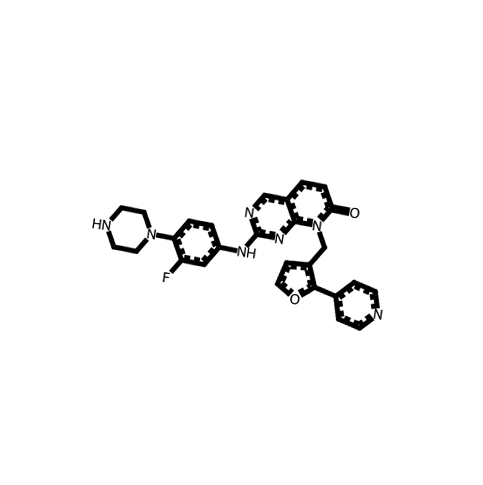 O=c1ccc2cnc(Nc3ccc(N4CCNCC4)c(F)c3)nc2n1Cc1ccoc1-c1ccncc1